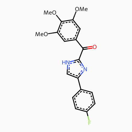 COc1cc(C(=O)c2nc(-c3ccc(F)cc3)c[nH]2)cc(OC)c1OC